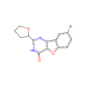 O=c1[nH]c(C2CCCO2)nc2c1oc1ccc(Br)cc12